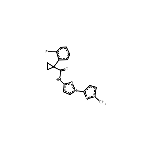 Cn1ccc(-n2ccc(NC(=O)C3(c4ccccc4F)CC3)n2)n1